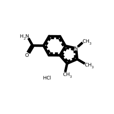 Cc1c(C)n(C)c2ccc(C(N)=O)cc12.Cl